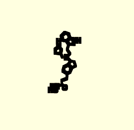 O=C(C=Cc1ccc2c(c1)CCC2N(CCc1c[nH]c2ccccc12)Cc1cc[nH]c1)NO